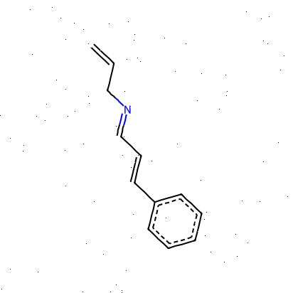 C=CCN=CC=Cc1ccccc1